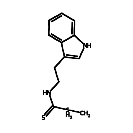 C[SH2]C(=S)NCCc1c[nH]c2ccccc12